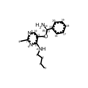 CCCCNc1nc(C)ncc1O[C@@H](N)c1ccccc1